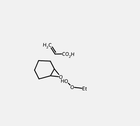 C1CCC2OC2C1.C=CC(=O)O.CCOO